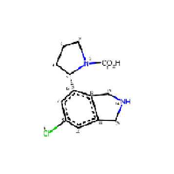 O=C(O)N1CCC[C@H]1c1cc(Cl)cc2c1CNC2